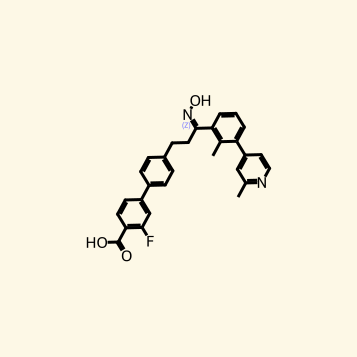 Cc1cc(-c2cccc(/C(CCc3ccc(-c4ccc(C(=O)O)c(F)c4)cc3)=N\O)c2C)ccn1